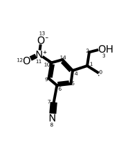 [CH2]C(CO)c1cc(C#N)cc([N+](=O)[O-])c1